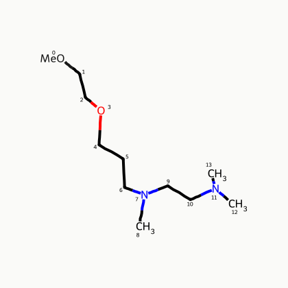 COCCOCCCN(C)CCN(C)C